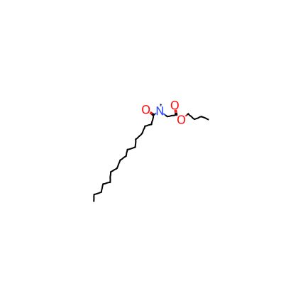 CCCCCCCCCCCCCCCC(=O)N(C)CC(=O)OCCCC